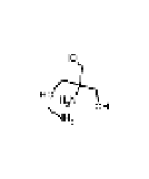 CN.NC(CO)(CO)CO